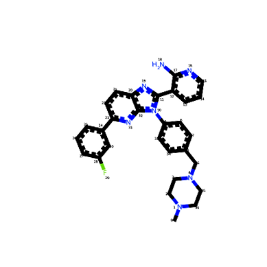 CN1CCN(Cc2ccc(-n3c(-c4cccnc4N)nc4ccc(-c5cccc(F)c5)nc43)cc2)CC1